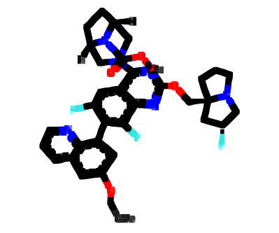 COCOc1cc(-c2c(F)cc3c(N4C[C@H]5CC[C@@H](C4)N5C(=O)OC(C)(C)C)nc(OC[C@@]45CCCN4C[C@H](F)C5)nc3c2F)c2ncccc2c1